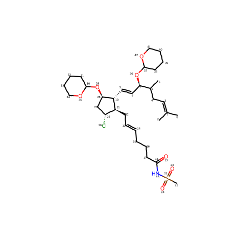 CC(C)=CCC(C)[C@@H](C=C[C@@H]1[C@@H](CC=CCCCC(=O)NS(C)(=O)=O)[C@H](Cl)C[C@H]1OC1CCCCO1)OC1CCCCO1